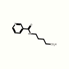 O=C(O)CCCCNC(=O)c1cccnc1